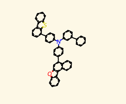 c1ccc(-c2cccc(N(c3ccc(-c4cc5oc6ccccc6c5c5ccccc45)cc3)c3ccc(-c4cccc5c4sc4ccccc45)cc3)c2)cc1